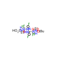 CCC(NC(=O)O)C(=O)N1CC(F)(F)C[C@H]1Cn1c(-c2[nH]c3cc(F)ccc3c2C[C@@H]2CC(F)(F)CN2C(=O)C(CC)NC(=O)OC(C)(C)C)nc2cc(F)ccc21